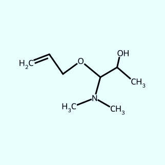 C=CCOC(C(C)O)N(C)C